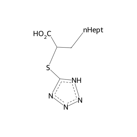 CCCCCCCCC(Sc1nnn[nH]1)C(=O)O